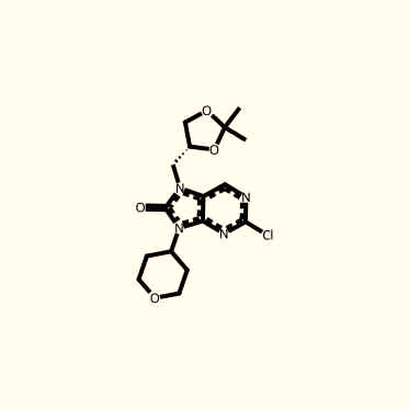 CC1(C)OC[C@@H](Cn2c(=O)n(C3CCOCC3)c3nc(Cl)ncc32)O1